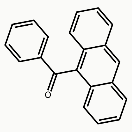 O=C(c1ccccc1)c1c2ccccc2cc2ccccc12